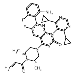 C=CC(=O)N1[C@H](C)CN(c2nc(=O)n(-c3c(C4CC4)ncnc3C3CC3)c3nc(-c4c(N)cccc4F)c(F)cc23)C[C@@H]1C